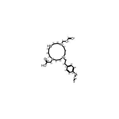 O=COCN1CCCN(CCc2ccc(N=C=S)cc2)CCN(CC(=O)O)CCCNCC1